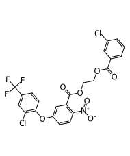 O=C(OCCOC(=O)c1cc(Oc2ccc(C(F)(F)F)cc2Cl)ccc1[N+](=O)[O-])c1cccc(Cl)c1